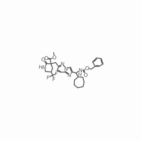 COC(=O)C1(Cc2ccc3nc(C(NC(=O)OCc4ccccc4)C4CCCCCC4)cn3n2)CC(C(F)(F)F)CNC1=O